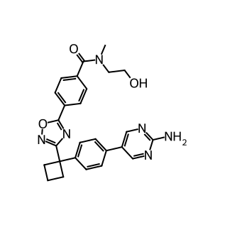 CN(CCO)C(=O)c1ccc(-c2nc(C3(c4ccc(-c5cnc(N)nc5)cc4)CCC3)no2)cc1